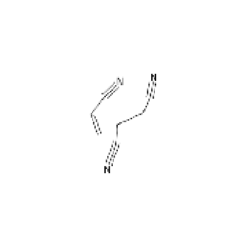 C=CC#N.N#CCCC#N